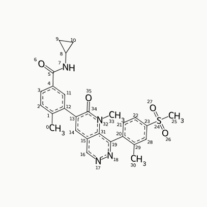 Cc1ccc(C(=O)NC2CC2)cc1-c1cc2cnnc(-c3ccc(S(C)(=O)=O)cc3C)c2n(C)c1=O